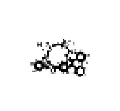 CN1CCN(C)CC2Cn3c(c(C4CCCCC4)c4ccc(cc43)C(=O)N(Cc3ccccc3)S(=O)(=O)CC1)-c1ccccc1O2